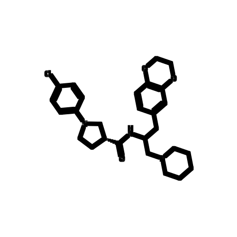 O=C(NC(Cc1ccc2c(c1)OCCO2)CN1CCCCC1)[C@@H]1CCN(c2ccc(Cl)cc2)C1